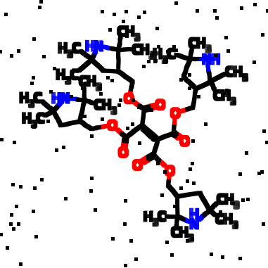 CC1(C)CC(COC(=O)C(C(=O)OCC2CC(C)(C)NC2(C)C)=C(C(=O)OCC2CC(C)(C)NC2(C)C)C(=O)OCC2CC(C)(C)NC2(C)C)C(C)(C)N1